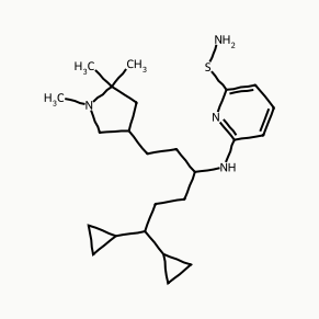 CN1CC(CCC(CCC(C2CC2)C2CC2)Nc2cccc(SN)n2)CC1(C)C